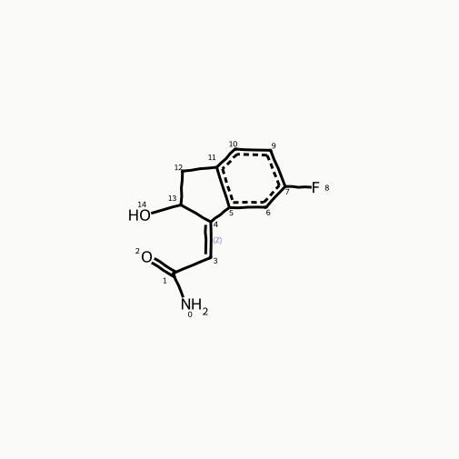 NC(=O)/C=C1/c2cc(F)ccc2CC1O